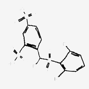 O=S(=O)(O)c1ccc(C(F)S(=O)(=O)c2c(F)cccc2F)c(S(=O)(=O)O)c1